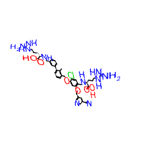 Cc1c(COc2cc(OCc3cncc(C#N)c3)c(CN[C@@H](CCCNC(=N)N)C(=O)O)cc2Cl)cccc1-c1cccc(CN[C@@H](CCCNC(=N)N)C(=O)O)c1